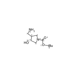 CC(C)(C)OC(=O)N1CC(CN)[C@@H](O)C1